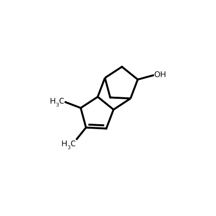 CC1=CC2C3CC(CC3O)C2C1C